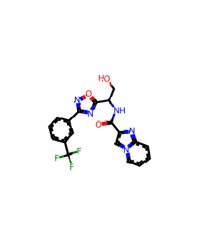 O=C(NC(CO)c1nc(-c2cccc(C(F)(F)F)c2)no1)c1cn2ccccc2n1